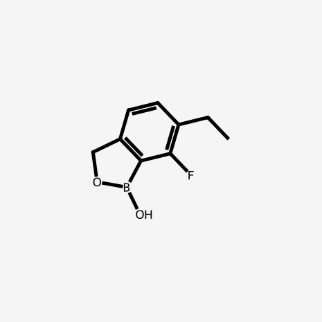 CCc1ccc2c(c1F)B(O)OC2